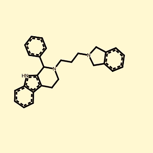 c1ccc(C2c3[nH]c4ccccc4c3CCN2CCCN2Cc3ccccc3C2)cc1